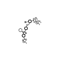 COC(=O)c1ccc2c(c1)nc(-c1ccc(OCc3cc(C(=O)OC(C)(C)C)ccc3Br)cc1)n2C1CCCCC1